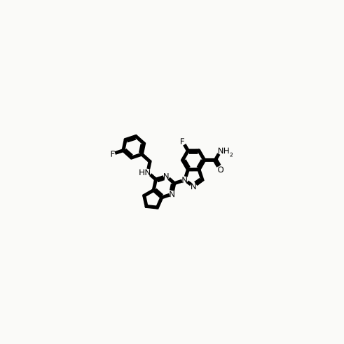 NC(=O)c1cc(F)cc2c1cnn2-c1nc2c(c(NCc3cccc(F)c3)n1)CCC2